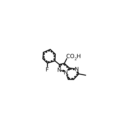 Cc1ccn2nc(-c3ccccc3F)c(C(=O)O)c2n1